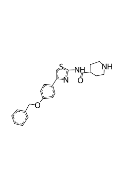 O=C(Nc1nc(-c2ccc(OCc3ccccc3)cc2)cs1)C1CCNCC1